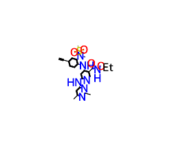 C#Cc1ccc(Nc2cc(Nc3cc(C)nc(C)n3)ncc2C(=O)NOCC)c(N(C)S(C)(=O)=O)c1